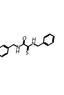 O=C(NCc1ccccc1)C(=S)NCc1ccccc1